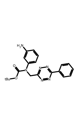 CC(C)(C)OC(=O)N(Cc1nnc(-c2ccccc2)nn1)c1cccc(N)c1